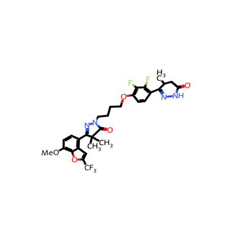 COc1ccc(C2=NN(CCCCOc3ccc(C4=NNC(=O)CC4C)c(F)c3F)C(=O)C2(C)C)c2cc(C(F)(F)F)oc12